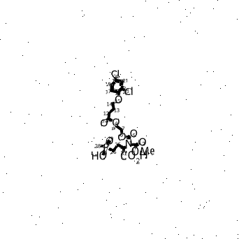 COC(=O)N(C(=O)OCCOC(=O)CCCOc1ccc(Cl)cc1Cl)C(CCP(C)(=O)O)C(=O)O